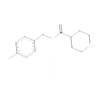 Cl.Cl.Cl.O=C(NCc1ccc(Cl)cc1)C1CCNCC1